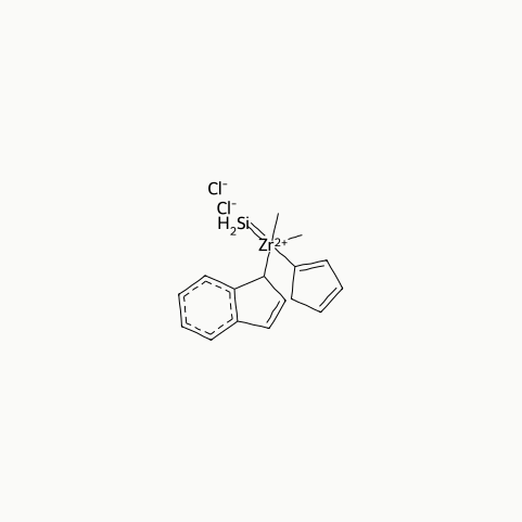 [CH3][Zr+2]([CH3])(=[SiH2])([C]1=CC=CC1)[CH]1C=Cc2ccccc21.[Cl-].[Cl-]